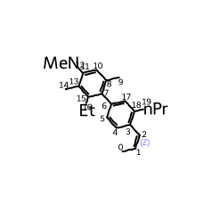 C/C=C\c1ccc(-c2c(C)cc(NC)c(C)c2CC)cc1CCC